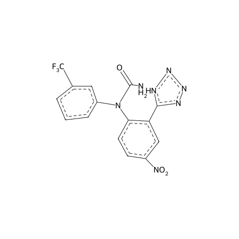 NC(=O)N(c1cccc(C(F)(F)F)c1)c1ccc([N+](=O)[O-])cc1-c1nnn[nH]1